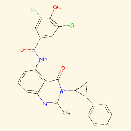 O=C(Nc1cccc2nc(C(F)(F)F)n(C3CC3c3ccccc3)c(=O)c12)c1cc(Cl)c(O)c(Cl)c1